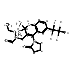 CCON(C=O)CC1=C(N2CCCC2=O)c2cc(C(F)(F)C(F)(F)F)ccc2OC1(C)C